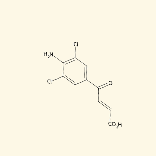 Nc1c(Cl)cc(C(=O)C=CC(=O)O)cc1Cl